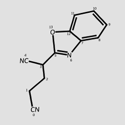 N#CCCC(C#N)c1nc2ccccc2o1